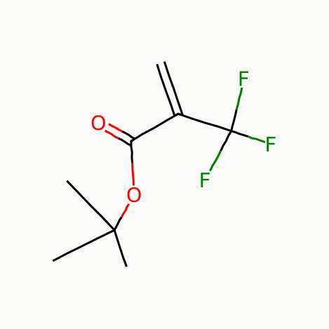 C=C(C(=O)OC(C)(C)C)C(F)(F)F